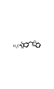 Cc1nc2ccc(Cc3nc4ccccc4o3)cc2s1